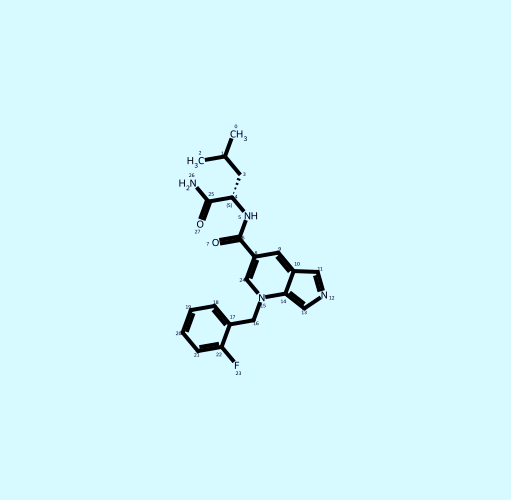 CC(C)C[C@H](NC(=O)c1cc2cncc-2n(Cc2ccccc2F)c1)C(N)=O